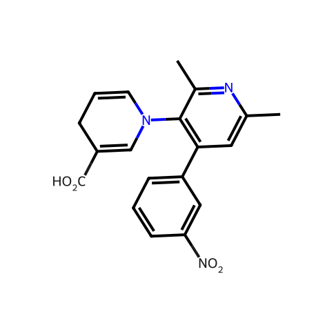 Cc1cc(-c2cccc([N+](=O)[O-])c2)c(N2C=CCC(C(=O)O)=C2)c(C)n1